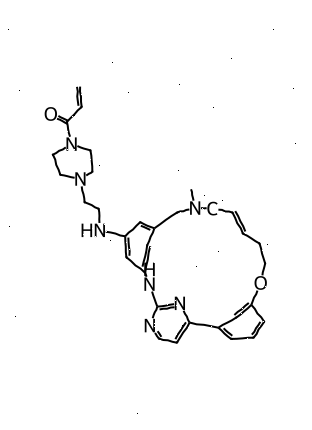 C=CC(=O)N1CCN(CCNc2cc3cc(c2)Nc2nccc(n2)-c2cccc(c2)OCC/C=C/CN(C)C3)CC1